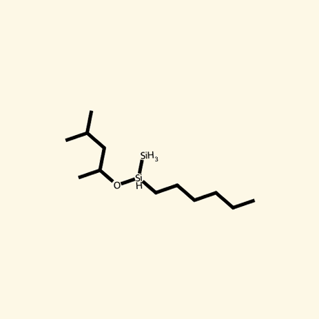 CCCCCC[SiH]([SiH3])OC(C)CC(C)C